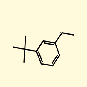 C[CH]c1cccc(C(C)(C)C)c1